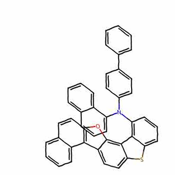 c1ccc(-c2ccc(N(c3cccc4ccccc34)c3cccc4sc5ccc6c(oc7ccc8ccccc8c76)c5c34)cc2)cc1